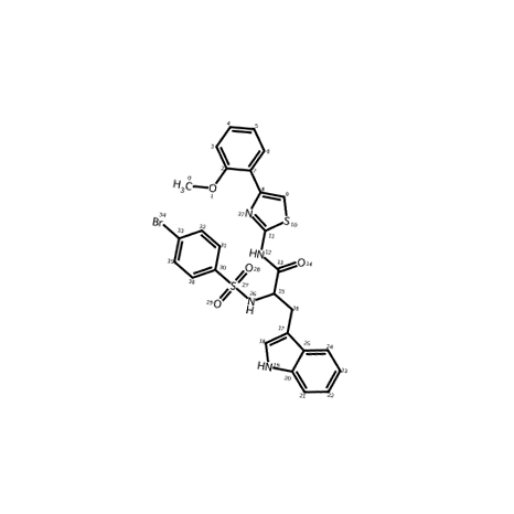 COc1ccccc1-c1csc(NC(=O)C(Cc2c[nH]c3ccccc23)NS(=O)(=O)c2ccc(Br)cc2)n1